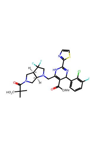 COC(=O)C1=C(CN2CC(F)(F)[C@@H]3CN(C(=O)C(C)(C)C(=O)O)C[C@@H]32)NC(c2nccs2)=NC1c1cccc(F)c1Cl